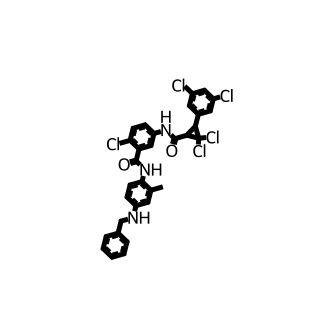 Cc1cc(NCc2ccccc2)ccc1NC(=O)c1cc(NC(=O)C2C(c3cc(Cl)cc(Cl)c3)C2(Cl)Cl)ccc1Cl